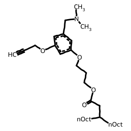 C#CCOc1cc(CN(C)C)cc(OCCCOC(=O)CC(CCCCCCCC)CCCCCCCC)c1